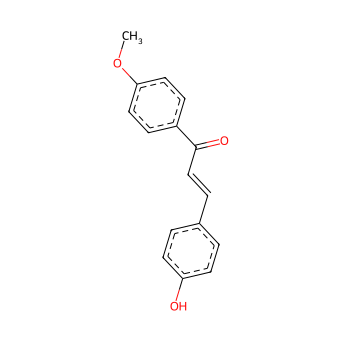 COc1ccc(C(=O)C=Cc2ccc(O)cc2)cc1